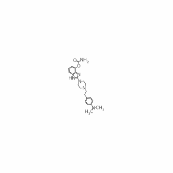 CN(C)c1ccc(CCN2CCN(c3nc4c(OC(N)=O)cccc4[nH]3)CC2)cc1